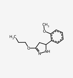 CCCOC1=NNC(c2ccccc2OC)C1